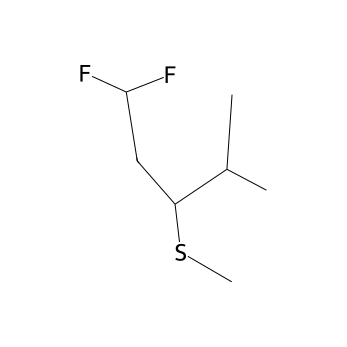 CSC(CC(F)F)C(C)C